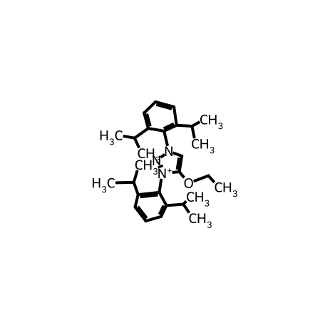 CCOc1cn(-c2c(C(C)C)cccc2C(C)C)n[n+]1-c1c(C(C)C)cccc1C(C)C